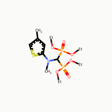 CCOP(=O)(OCC)C(N(C)c1cc(C)cs1)P(=O)(OCC)OCC